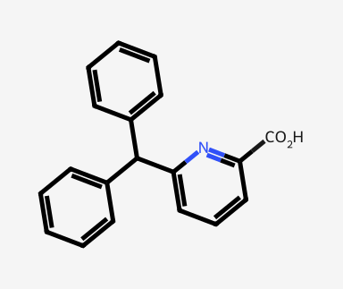 O=C(O)c1cccc(C(c2ccccc2)c2ccccc2)n1